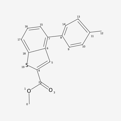 COC(=O)c1cc2c(-c3ccc(C)cc3)cccc2s1